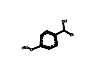 CCCCOc1ccc(C(O)CC)cc1